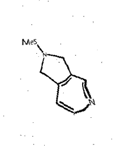 CSN1Cc2ccncc2C1